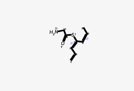 C=C/C=C(\C=C/C)SC(=O)CN